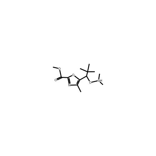 COC(=O)c1nc(C)c(C(O[SiH](C)C)C(C)(C)C)o1